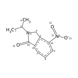 CC(C)N1Cc2c(cccc2[N+](=O)[O-])C1=O